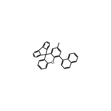 Cc1cc(-c2cccc3ccccc23)c2c(c1)C1(c3ccccc3O2)c2ccccc2-c2ccccc21